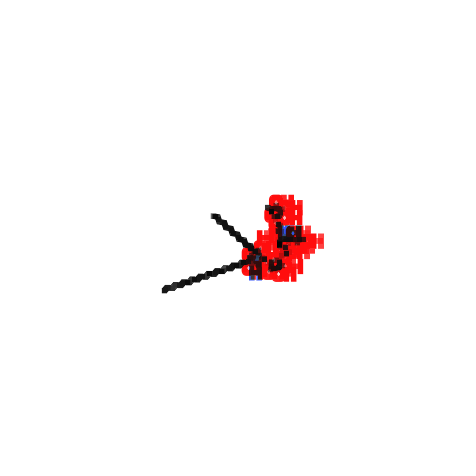 CCCCCCCCCCC/C=C/[C@@H](O)[C@H](CO[C@@H]1O[C@H](CO[C@]2(C(=O)O)C[C@H](O)[C@@H](NC(=O)CO[C@@H]3O[C@@H](C)[C@@H](O)[C@@H](O)[C@@H]3O)[C@H]([C@H](O)[C@H](O)CO)O2)[C@@H](O)[C@H](O)[C@H]1O)NC(=O)[C@H](O)CCCCCCCCCCCCCCCCCCCC